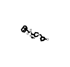 O=C(CC12CC3CC(CC(C3)C1)C2)Nc1ncnc2c1CCN(Cc1cccc(Cl)c1)C2